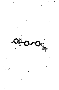 Cc1ccc2nc(-c3ccc(/C=C/c4ccc(OCC[18F])cc4)cc3)sc2c1